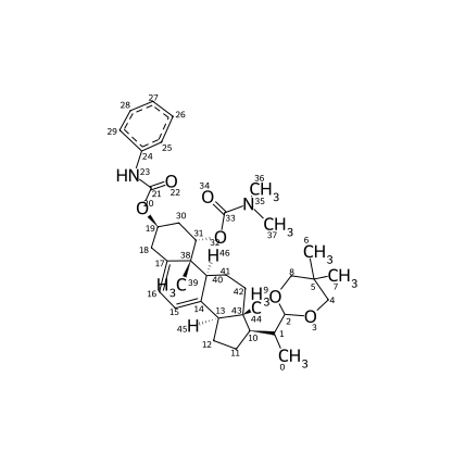 CC(C1OCC(C)(C)CO1)[C@H]1CC[C@H]2C3=CC=C4C[C@@H](OC(=O)Nc5ccccc5)C[C@H](OC(=O)N(C)C)[C@]4(C)[C@H]3CC[C@]12C